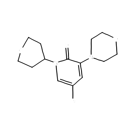 O=c1c(N2CCOCC2)cc(Br)cn1C1CCOCC1